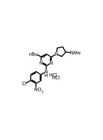 CCCCc1cc(N2CCC(NC)C2)nc(Nc2ccc(Cl)c([N+](=O)[O-])c2)n1.Cl.Cl